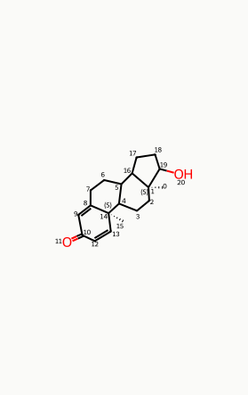 C[C@]12CCC3C(CCC4=CC(=O)C=C[C@@]43C)C1CCC2O